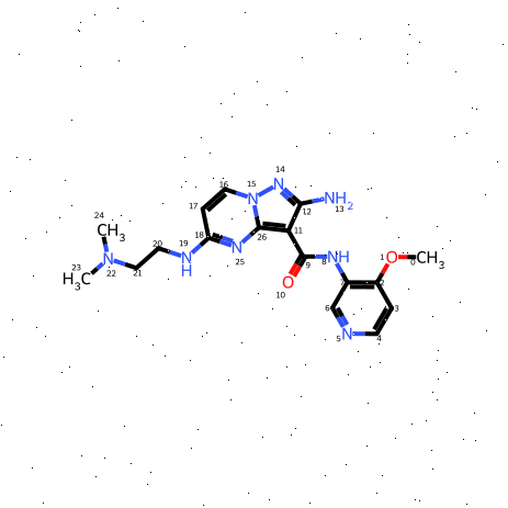 COc1ccncc1NC(=O)c1c(N)nn2ccc(NCCN(C)C)nc12